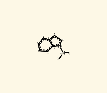 CN(C)n1ccc2ccccc21